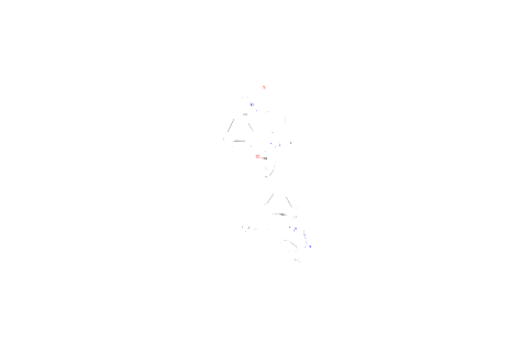 COc1cc(/C=C2\CCCN(C(C)c3ccc(F)cc3N3CCOCC3)C2=O)ccc1-n1cnc(C)c1